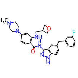 CN1CCN(c2ccc(C(=O)Nc3n[nH]c4ccc(Cc5cccc(F)c5)cc34)c(NCC3COC3)c2)CC1